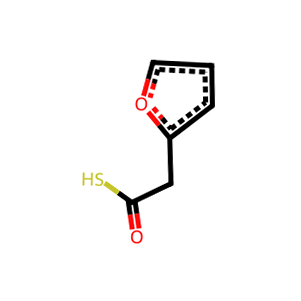 O=C(S)Cc1ccco1